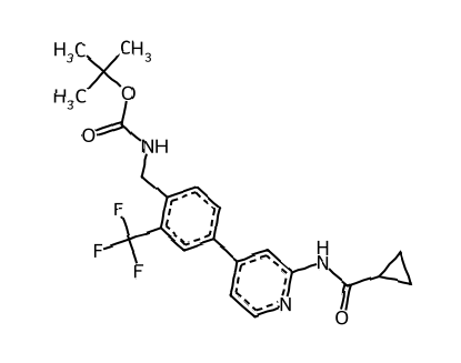 CC(C)(C)OC(=O)NCc1ccc(-c2ccnc(NC(=O)C3CC3)c2)cc1C(F)(F)F